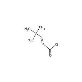 CC(C)(C)C=CC(=O)Cl